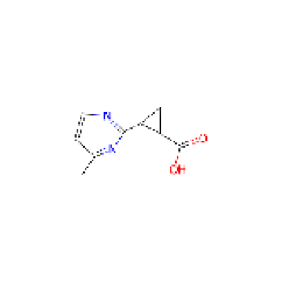 Cc1ccnc(C2CC2C(=O)O)n1